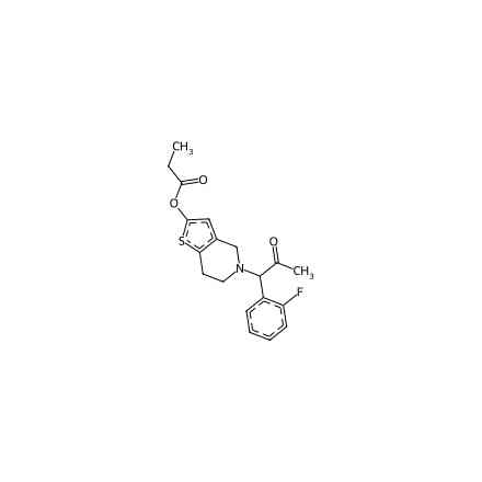 CCC(=O)Oc1cc2c(s1)CCN(C(C(C)=O)c1ccccc1F)C2